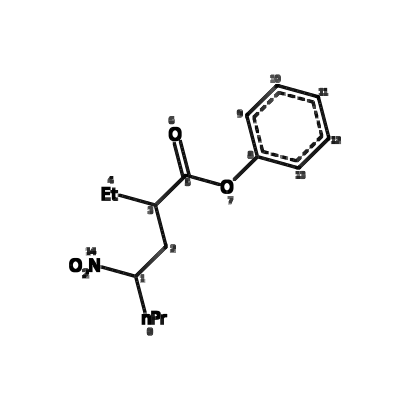 CCCC(CC(CC)C(=O)Oc1ccccc1)[N+](=O)[O-]